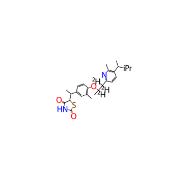 [2H]C(C)(Oc1ccc(C(C)C2SC(=O)NC2=O)cc1C)C([2H])([2H])c1ccc(C(C)C(C)C)c(C)n1